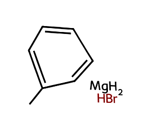 Br.Cc1ccccc1.[MgH2]